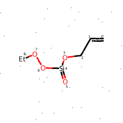 C=CCO[Si](=O)OOCC